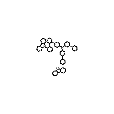 c1ccc(-c2cccc(N(c3ccc(-c4ccc(-c5cccc6c5oc5ccccc56)cc4)cc3)c3ccc(-c4ccccc4-c4ccccc4-n4c5ccccc5c5ccccc54)cc3)c2)cc1